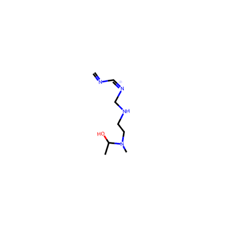 C=N/C=N\CNCCN(C)C(C)O